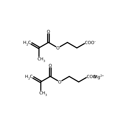 C=C(C)C(=O)OCCC(=O)[O-].C=C(C)C(=O)OCCC(=O)[O-].[Mg+2]